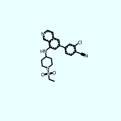 CCS(=O)(=O)N1CCC(Nc2cc(-c3ccc(C#N)c(Cl)c3)cc3ccncc23)CC1